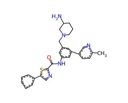 Cc1ccc(-c2cc(CN3CCCC(N)C3)cc(NC(=O)c3ncc(-c4ccccc4)s3)c2)cn1